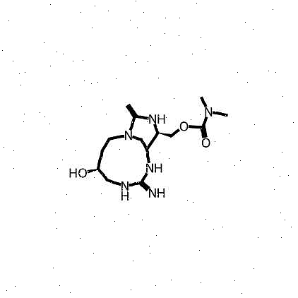 C=C1N[C@@H](COC(=O)N(C)C)C2CN1CC[C@H](O)CNC(=N)N2